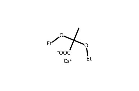 CCOC(C)(OCC)C(=O)[O-].[Cs+]